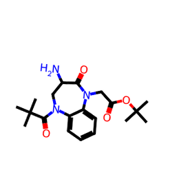 CC(C)(C)OC(=O)CN1C(=O)C(N)CN(C(=O)C(C)(C)C)c2ccccc21